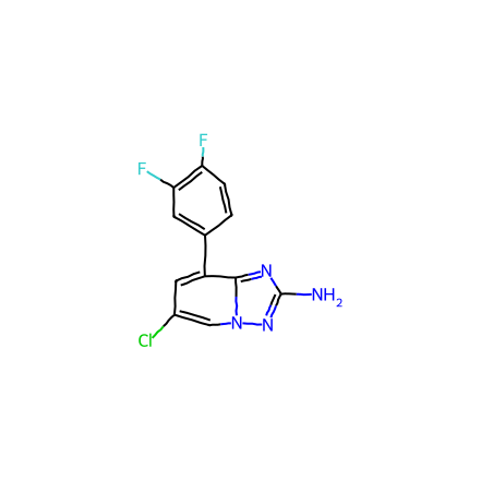 Nc1nc2c(-c3ccc(F)c(F)c3)cc(Cl)cn2n1